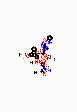 COc1ccc(C(OC[C@H]2O[C@@H](n3cnc4c(NC(=O)c5ccccc5)ncnc43)C[C@H]2OP(=O)(CO[C@H]2O[C@@H](n3cc(C)c(=O)[nH]c3=O)C[C@H]2O)OC)(c2ccccc2)c2ccc(OC)cc2)cc1